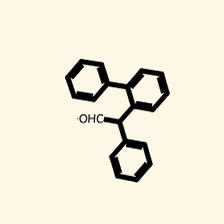 O=[C]C(c1ccccc1)c1ccccc1-c1ccccc1